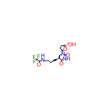 O=C(NCCCC#Cc1cn([C@@H]2CC[C@H](CO)O2)c(=O)[nH]c1=O)C(F)(F)F